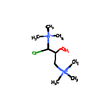 C[N+](C)(C)CC(O)C(Cl)[N+](C)(C)C